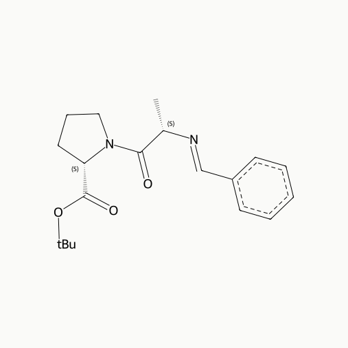 C[C@H](N=Cc1ccccc1)C(=O)N1CCC[C@H]1C(=O)OC(C)(C)C